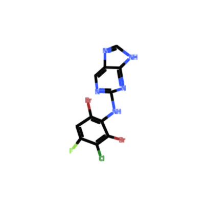 Fc1cc(Br)c(Nc2ncc3nc[nH]c3n2)c(Br)c1Cl